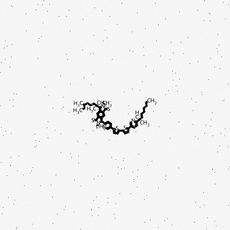 C=CCCCCCC(C)(C)c1ccc(-c2ccc(-c3ccc(-c4ccc(C5=c6cc7c(cc6C(=S)N5C)=C(C(C)(C)CCCC(C)CC)N(C)C7=S)nc4)s3)s2)cn1